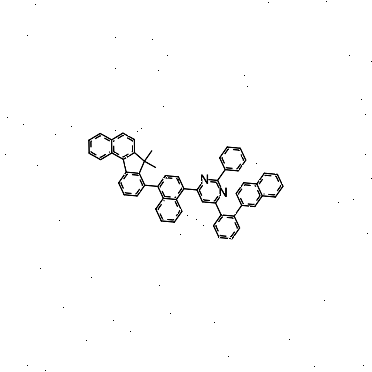 CC1(C)c2ccc3ccccc3c2-c2cccc(-c3ccc(-c4cc(-c5ccccc5-c5ccc6ccccc6c5)nc(-c5ccccc5)n4)c4ccccc34)c21